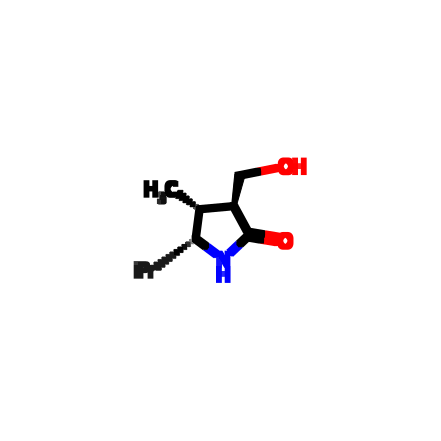 CC(C)[C@H]1NC(=O)[C@H](CO)[C@H]1C